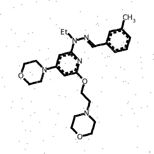 CCN(N=Cc1cccc(C)c1)c1cc(N2CCOCC2)cc(OCCN2CCOCC2)n1